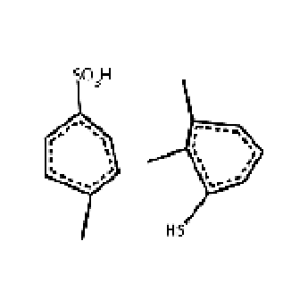 Cc1ccc(S(=O)(=O)O)cc1.Cc1cccc(S)c1C